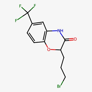 O=C1Nc2cc(C(F)(F)F)ccc2OC1CCCBr